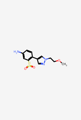 COCCn1cc(-c2ccc(N)cc2[SH](=O)=O)cn1